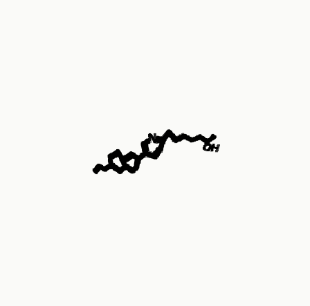 C=CCc1ccc2cc(-c3ccc(C=CCCCC(C)O)nc3)ccc2c1